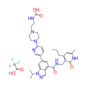 CCCc1cc(C)[nH]c(=O)c1CNC(=O)c1cc(-c2ccc(N3CCN(CCNC(=O)O)CC3)nc2)cc2c1cnn2C(C)C.O=C(O)C(F)(F)F